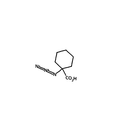 [N-]=[N+]=NC1(C(=O)O)CCCCC1